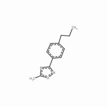 CCCc1ccc(-c2noc(C)n2)cc1